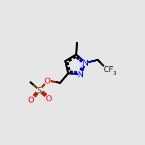 Cc1cc(COS(C)(=O)=O)nn1CC(F)(F)F